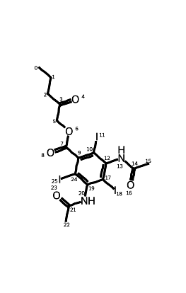 CCCC(=O)COC(=O)c1c(I)c(NC(C)=O)c(I)c(NC(C)=O)c1I